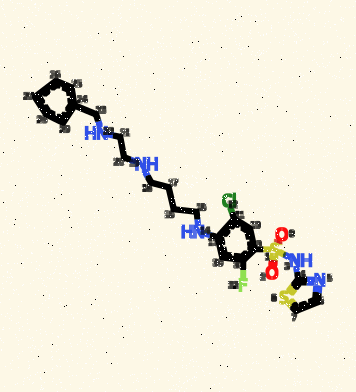 O=S(=O)(Nc1nccs1)c1cc(Cl)c(NCCCCNCCNCc2ccccc2)cc1F